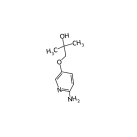 CC(C)(O)COc1ccc(N)nc1